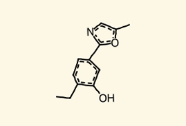 CCc1ccc(-c2ncc(C)o2)cc1O